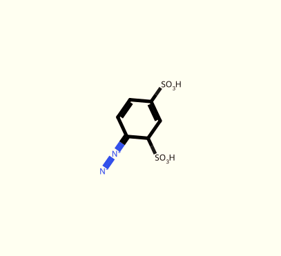 [N-]=[N+]=C1C=CC(S(=O)(=O)O)=CC1S(=O)(=O)O